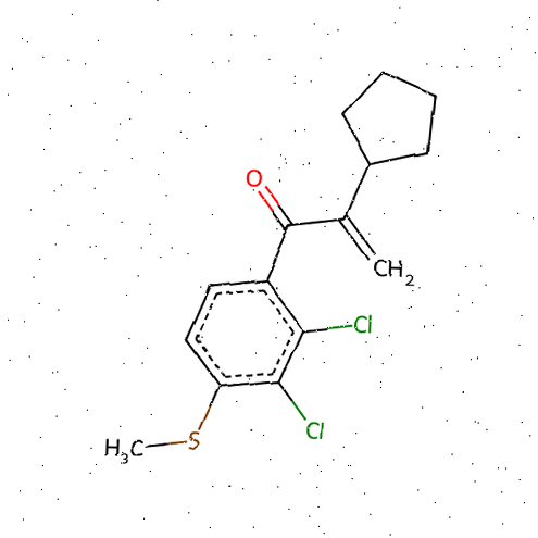 C=C(C(=O)c1ccc(SC)c(Cl)c1Cl)C1CCCC1